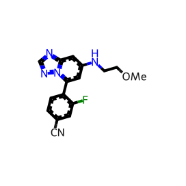 COCCNc1cc(-c2ccc(C#N)cc2F)n2ncnc2c1